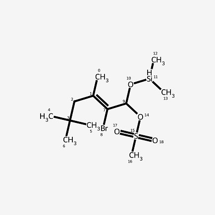 CC(CC(C)(C)C)=C(Br)C(O[SiH](C)C)OS(C)(=O)=O